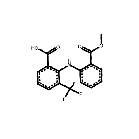 COC(=O)c1ccccc1Nc1c(C(=O)O)cccc1C(F)(F)F